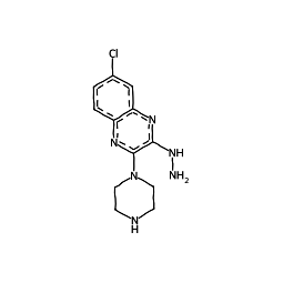 NNc1nc2cc(Cl)ccc2nc1N1CCNCC1